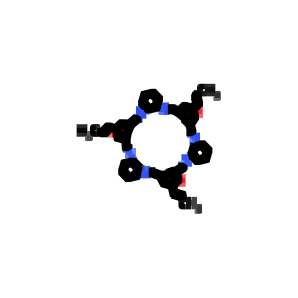 C/C=C/c1cc2c(O)c(c1)/C=N/C1CCCCC1/N=C/c1cc(/C=C/C)cc(c1O)/C=N/C1CCCCC1/N=C/c1cc(/C=C/C)cc(c1O)/C=N/C1CCCCC1/N=C/2